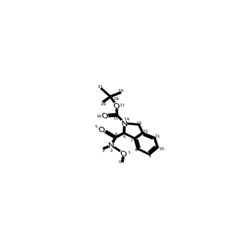 CON(C)C(=O)C1c2ccccc2CN1C(=O)OC(C)(C)C